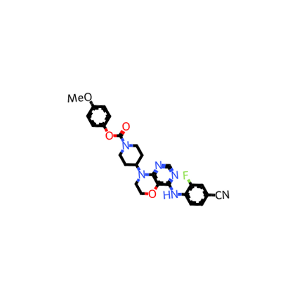 COc1ccc(OC(=O)N2CCC(N3CCOc4c(Nc5ccc(C#N)cc5F)ncnc43)CC2)cc1